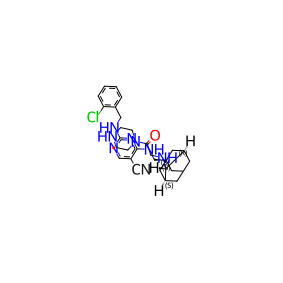 N#Cc1cnc(NCc2ccccc2Cl)nc1NC[C@]12CC3C[C@H](C1)[C@@H](NCC(=O)N1CCNCC1)[C@@H](C3)C2